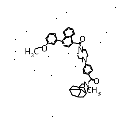 CCOc1cccc(-c2ccc(C(=O)N3CCN(c4ccc(C(=O)N(C)CC56CC7CC(CC(C7)C5)C6)cc4)CC3)c3ccccc23)c1